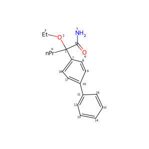 CCCC(OCC)(C(N)=O)c1ccc(-c2ccccc2)cc1